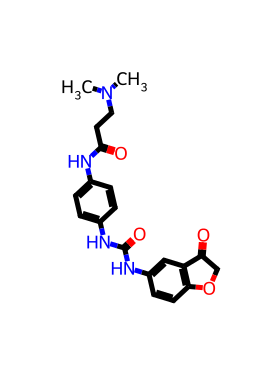 CN(C)CCC(=O)Nc1ccc(NC(=O)Nc2ccc3c(c2)C(=O)CO3)cc1